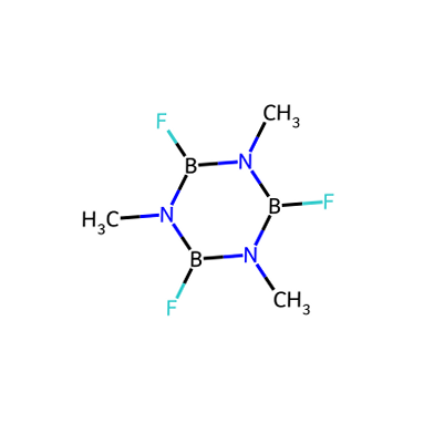 CN1B(F)N(C)B(F)N(C)B1F